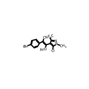 CCC(C)c1ccc(C(C#N)=C(OC(C)=O)c2c(C(F)(F)F)nn(C)c2Cl)cc1